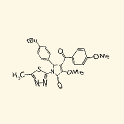 COC1=C(C(=O)c2ccc(OC)cc2)C(c2ccc(C(C)(C)C)cc2)N(c2nnc(C)s2)C1=O